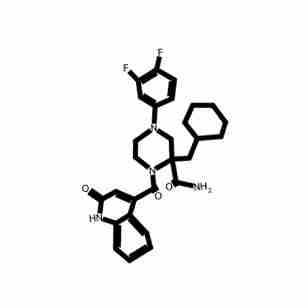 NC(=O)C1(CC2CCCCC2)CN(c2ccc(F)c(F)c2)CCN1C(=O)c1cc(=O)[nH]c2ccccc12